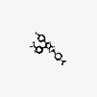 CNc1cc(-c2c(-c3ccc(F)cc3)nc3sc(N4CCN(C(C)C)CC4)nn23)ccn1